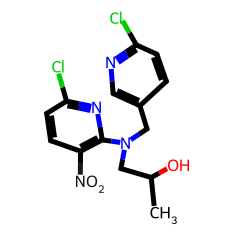 CC(O)CN(Cc1ccc(Cl)nc1)c1nc(Cl)ccc1[N+](=O)[O-]